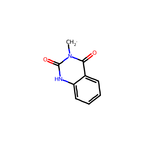 [CH2]n1c(=O)[nH]c2ccccc2c1=O